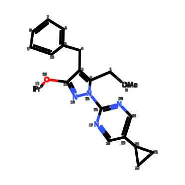 COCc1c(Cc2ccccc2)c(OC(C)C)nn1-c1ncc(C2CC2)cn1